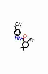 CC(C)C1CCC(C)(C)CC1C(=O)Nc1ccc(CC#N)cc1